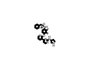 O=S(=O)(Cc1ccccc1)Nc1ccc(Oc2ncccc2-c2ccnc(NC3CCNC3)n2)c(F)c1F